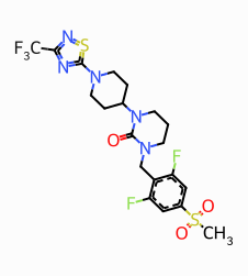 CS(=O)(=O)c1cc(F)c(CN2CCCN(C3CCN(c4nc(C(F)(F)F)ns4)CC3)C2=O)c(F)c1